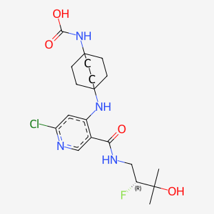 CC(C)(O)[C@H](F)CNC(=O)c1cnc(Cl)cc1NC12CCC(NC(=O)O)(CC1)CC2